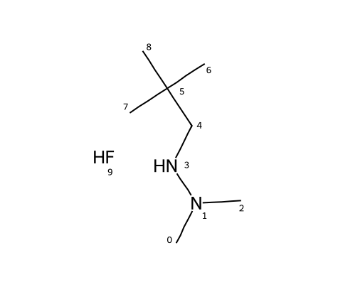 CN(C)NCC(C)(C)C.F